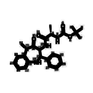 C[C@H](NC(=O)OC(C)(C)C)C(=O)NC1C(=O)N(C)c2ccccc2NC1c1ccccc1